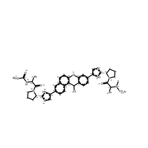 CCC1c2ccc(-c3cnc([C@@H]4CCCN4C(=O)C(C(C)C)N(C)C(=O)O)[nH]3)cc2Oc2ccc3cc(-c4cnc([C@@H]5CCCN5C(=O)C(NC(=O)OC)C(C)C)[nH]4)ccc3c21